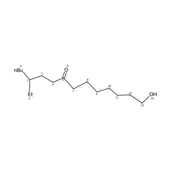 CCCCC(CC)CCC(=O)CCCCCCCO